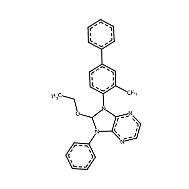 CCOC1N(c2ccccc2)c2nccnc2N1c1ccc(-c2ccccc2)cc1C